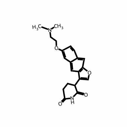 CN(C)CCOc1ccc2cc3occ(C4CCC(=O)NC4=O)c3cc2c1